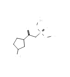 COP(=O)(CC(=O)C1CCC(C)C1)OC